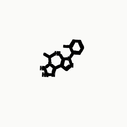 Cc1ccccc1-n1ncc(C2=NNNN2C(C)C)c1S